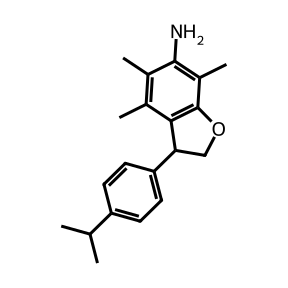 Cc1c(C)c2c(c(C)c1N)OCC2c1ccc(C(C)C)cc1